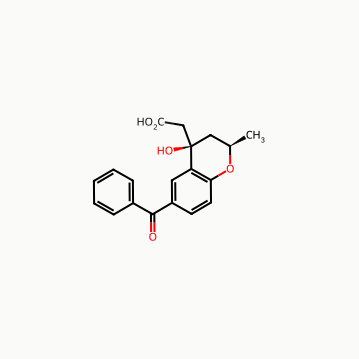 C[C@@H]1C[C@@](O)(CC(=O)O)c2cc(C(=O)c3ccccc3)ccc2O1